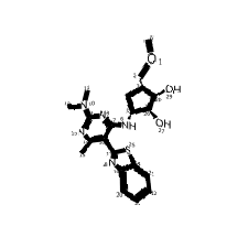 COC[C@H]1C[C@@H](Nc2nc(N(C)C)nc(C)c2-c2nc3ccccc3s2)[C@H](O)[C@@H]1O